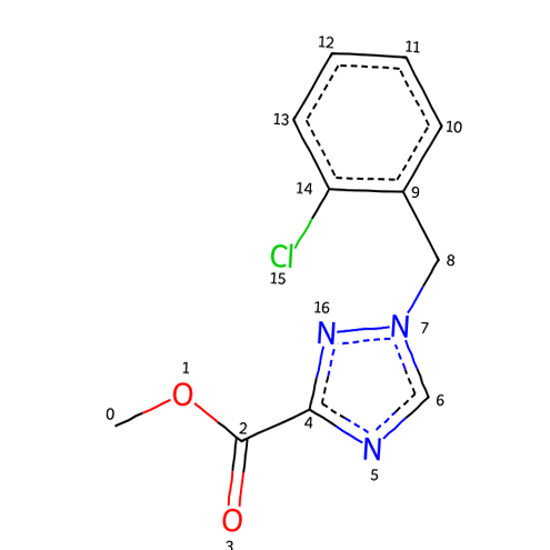 COC(=O)c1ncn(Cc2ccccc2Cl)n1